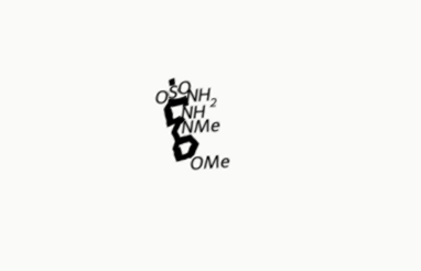 CNC1(Cc2ccc(OC)cc2)C=CC(S(C)(=O)=O)=C(N)N1